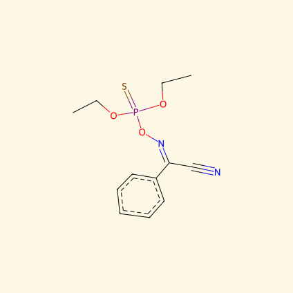 CCOP(=S)(OCC)O/N=C(/C#N)c1ccccc1